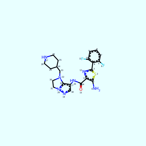 Nc1sc(-c2c(F)cccc2F)nc1C(=O)Nc1cnn2c1N(CC1CCNCC1)CC2